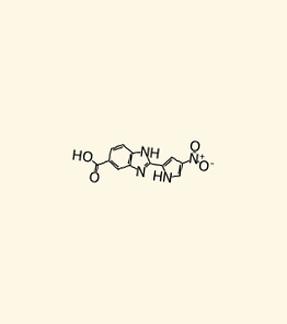 O=C(O)c1ccc2[nH]c(-c3cc([N+](=O)[O-])c[nH]3)nc2c1